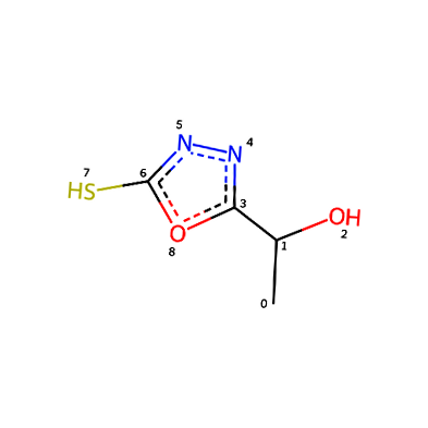 CC(O)c1nnc(S)o1